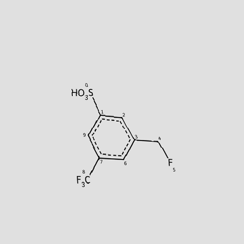 O=S(=O)(O)c1cc(CF)cc(C(F)(F)F)c1